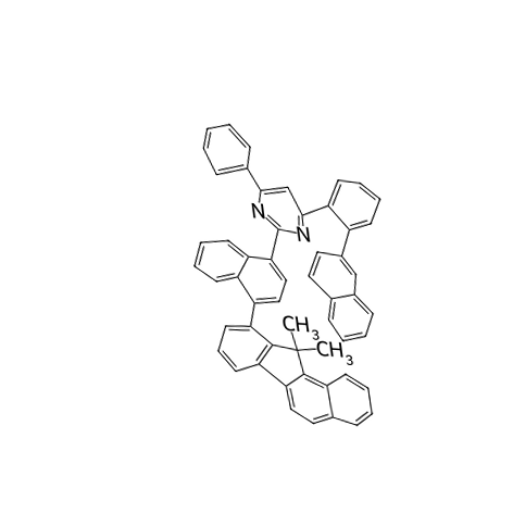 CC1(C)c2c(cccc2-c2ccc(-c3nc(-c4ccccc4)cc(-c4ccccc4-c4ccc5ccccc5c4)n3)c3ccccc23)-c2ccc3ccccc3c21